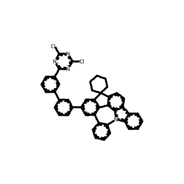 Clc1nc(Cl)nc(-c2cccc(-c3cccc(-c4cc5c6c(c4)C4(CCCCC4)c4ccc7c8ccccc8n(c7c4-6)-c4ccccc4-5)c3)c2)n1